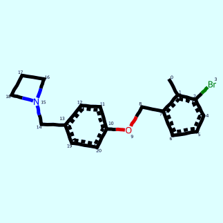 Cc1c(Br)cccc1COc1ccc(CN2CCC2)cc1